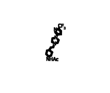 CC(=O)NC1CCC(CCN2CCN(c3ccc(C(F)(F)F)nc3)CC2)CC1